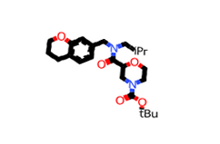 CC(C)CN(Cc1ccc2c(c1)OCCC2)C(=O)C1CN(C(=O)OC(C)(C)C)CCO1